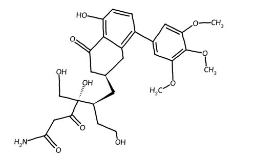 COc1cc(-c2ccc(O)c3c2C[C@@H](C[C@@H](CCO)[C@](O)(CO)C(=O)CC(N)=O)CC3=O)cc(OC)c1OC